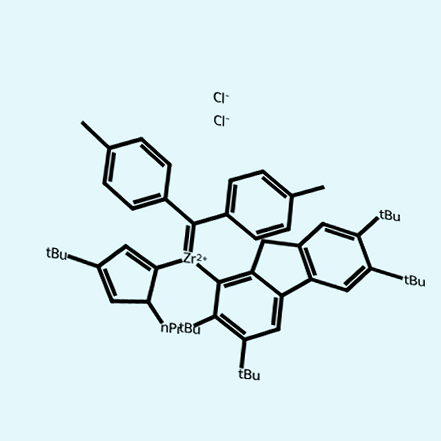 CCCC1C=C(C(C)(C)C)C=[C]1[Zr+2](=[C](c1ccc(C)cc1)c1ccc(C)cc1)[c]1c2c(cc(C(C)(C)C)c1C(C)(C)C)-c1cc(C(C)(C)C)c(C(C)(C)C)cc1C2.[Cl-].[Cl-]